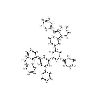 c1ccc(-c2nc(-c3cc(-c4cccnc4)cc(-c4ccc5c(c4)c4ccccc4n5-c4ccccc4)c3)cc(-c3cccc4sc5ccccc5c34)n2)cc1